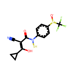 N#CC(C(=O)N(S)c1ccc([S+]([O-])C(F)(F)F)cc1)=C(O)C1CC1